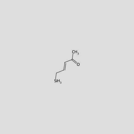 CC(=O)C=CC[SiH3]